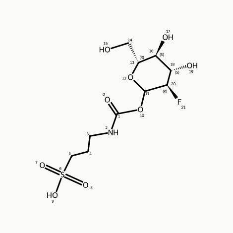 O=C(NCCCS(=O)(=O)O)OC1O[C@H](CO)[C@@H](O)[C@H](O)[C@H]1F